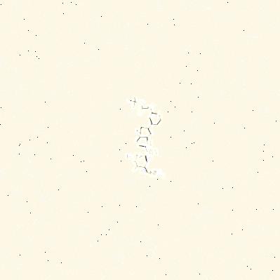 CC(C)C(=C/N)/C=C(\N)Nc1ccc2ncc(-c3ccnc(N(C)C(=O)OC(C)(C)C)c3)cc2n1